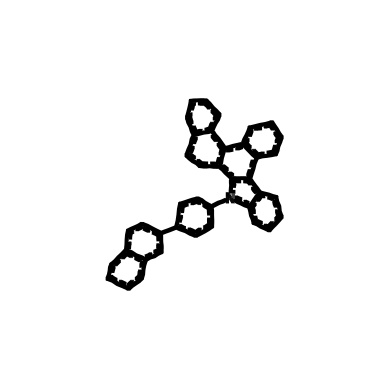 c1ccc2cc(-c3ccc(-n4c5ccccc5c5c6ccccc6c6c7ccccc7ccc6c54)cc3)ccc2c1